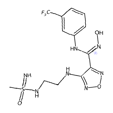 CS(=N)(=O)NCCNc1nonc1/C(=N/O)Nc1cccc(C(F)(F)F)c1